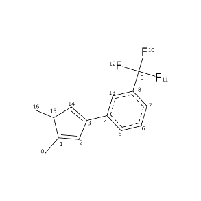 CC1=CC(c2cccc(C(F)(F)F)c2)=CC1C